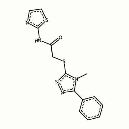 Cn1c(SCC(=O)Nc2nccs2)nnc1-c1ccccc1